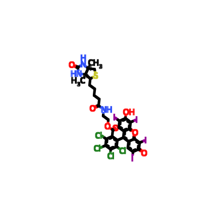 C[C@]12CSC(CCCCC(=O)NCCOC(=O)c3c(Cl)c(Cl)c(Cl)c(Cl)c3-c3c4cc(I)c(=O)c(I)c-4oc4c(I)c(O)c(I)cc34)[C@@]1(C)NC(=O)N2